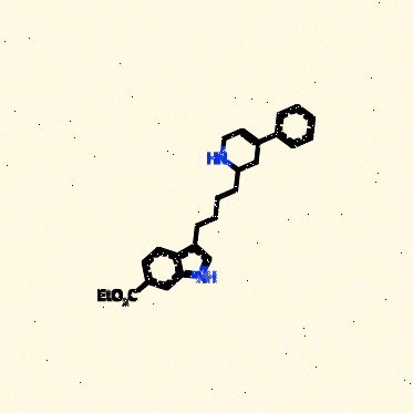 CCOC(=O)c1ccc2c(CCCCC3CC(c4ccccc4)=CCN3)c[nH]c2c1